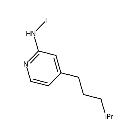 CC(C)CCCc1ccnc(NI)c1